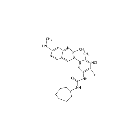 CNc1cc2nc(C)c(-c3cc(NC(=O)NC4CCCCCC4)c(F)cc3C)cc2cn1.Cl